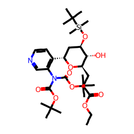 CCOC(=O)CC[C@H]1O[C@H](c2ccncc2N(C(=O)OC(C)(C)C)C(=O)OC(C)(C)C)C[C@@H](O[Si](C)(C)C(C)(C)C)[C@@H]1O